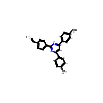 C=Cc1ccc(-c2nc(-c3ccc(C(C)(C)C)cc3)cc(-c3ccc(C(C)(C)C)cc3)n2)cc1